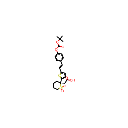 CC(C)(C)OC(=O)Oc1ccc(C=Cc2ccc([C@@]3(CC(=O)O)CCCCS3(=O)=O)s2)cc1